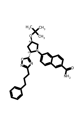 CC(C)(C)O[C@@H]1C[C@@H](c2nc(CCCc3ccccc3)no2)N(c2ccc3cc(C(N)=O)ccc3c2)C1